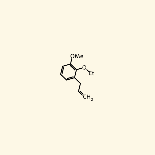 C=CCc1cccc(OC)c1OCC